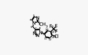 Cc1nccn1Cc1cn(-c2ccc(Cl)c(C(F)(F)F)c2)nn1